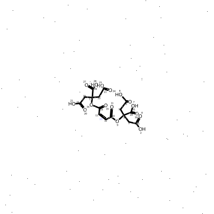 O=C(O)CC(CC(=O)O)(OC(=O)/C=C\C(=O)OC(CC(=O)O)(CC(=O)O)C(=O)O)C(=O)O